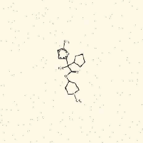 Cc1ccc(C(C)(C(=O)OC2CCN(C)CC2)C2CCCC2)s1